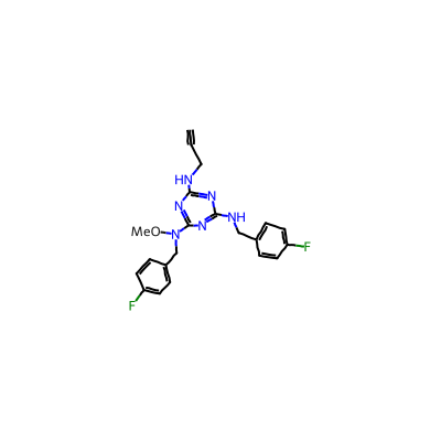 C#CCNc1nc(NCc2ccc(F)cc2)nc(N(Cc2ccc(F)cc2)OC)n1